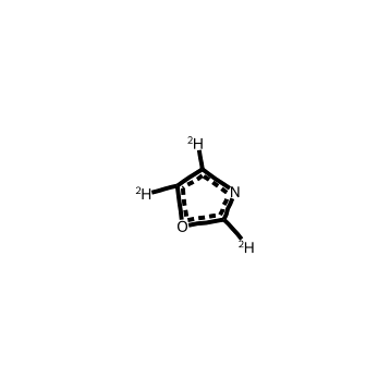 [2H]c1nc([2H])c([2H])o1